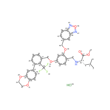 COC(=O)[C@H](CC(C)C)NCc1ccc(OCc2cccc(-c3ccc4c(c3)OCCO4)c2C(F)(F)F)cc1OCc1ccc2nonc2c1.Cl